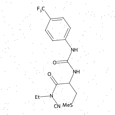 CCN(C#N)C(=O)C(CSC)NC(=O)Nc1ccc(C(F)(F)F)cc1